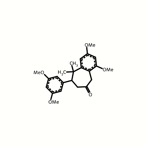 COc1cc(OC)cc(C2CC(=O)Cc3c(OC)cc(OC)cc3C2(C)C)c1